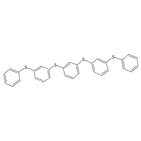 c1ccc(Sc2cccc(Sc3cccc(Sc4cccc(Sc5ccccc5)c4)c3)c2)cc1